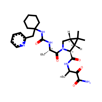 CCCCC(NC(=O)[C@@H]1[C@@H]2[C@H](CN1C(=O)[C@@H](NC(=O)NC1(Cc3ccccn3)CCCCC1)C(C)(C)C)C2(C)C)C(=O)C(N)=O